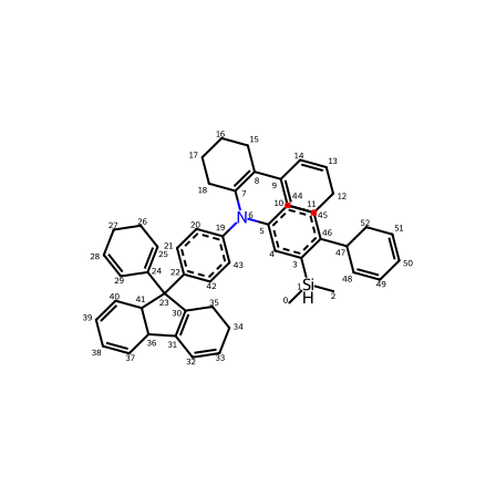 C[SiH](C)c1cc(N(C2=C(C3=CCCC=C3)CCCC2)c2ccc(C3(C4=CCCC=C4)C4=C(C=CCC4)C4C=CC=CC43)cc2)ccc1C1C=CC=CC1